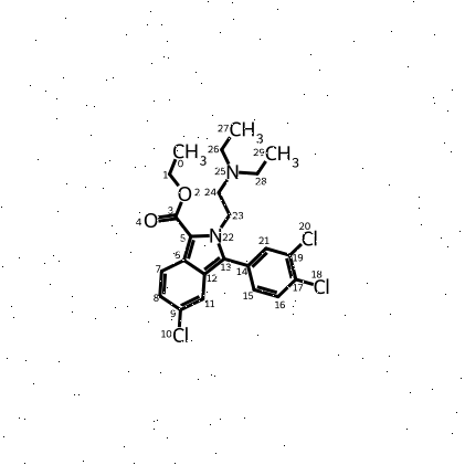 CCOC(=O)c1c2ccc(Cl)cc2c(-c2ccc(Cl)c(Cl)c2)n1CCN(CC)CC